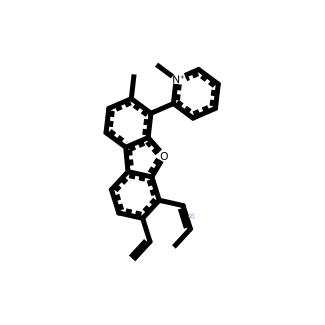 C=Cc1ccc2c(oc3c(-c4cccc[n+]4C)c(C)ccc32)c1/C=C\C